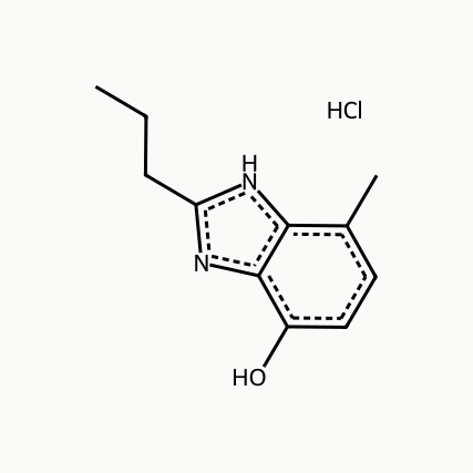 CCCc1nc2c(O)ccc(C)c2[nH]1.Cl